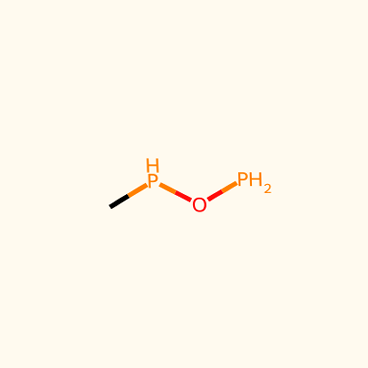 CPOP